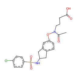 CC(=O)N(CCCC(=O)O)Oc1ccc2c(c1)CC(NS(=O)(=O)c1ccc(Cl)cc1)C2